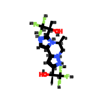 C[C@H]1Cn2nc([C@](C)(O)C(F)(F)F)cc2-c2cnc([C@@](C)(O)C(F)(F)F)n21